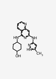 Cc1cc(Nc2cc3ncccc3c(NC3CCC(O)CC3)n2)n[nH]1